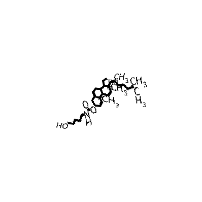 CC(C)CCC[C@@H](C)[C@H]1CCC2C3CC=C4CC(OC(=O)NCCCCCO)CC[C@]4(C)C3CC[C@@]21C